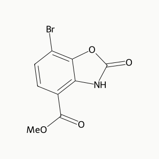 COC(=O)c1ccc(Br)c2oc(=O)[nH]c12